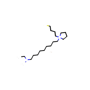 CCN(C)CCCCCCCCC[N+]1(CCCCS)CCCC1.[Br-]